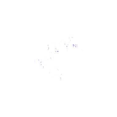 Cc1ccc(Oc2c[nH]nc2-c2ccc(F)cc2)nc1CNC(N)=O